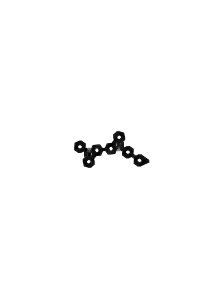 C1=c2ccc(-c3ccc(-n4c5ccccc5c5cc(-c6ccc7c(c6)c6ccccc6n7-c6ccccc6)ccc54)cc3)cc2=1